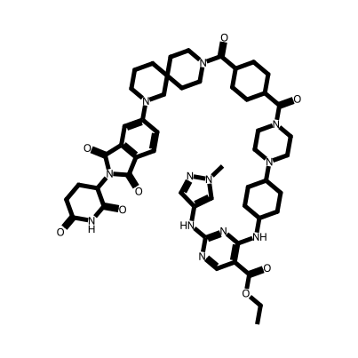 CCOC(=O)c1cnc(Nc2cnn(C)c2)nc1NC1CCC(N2CCN(C(=O)C3CCC(C(=O)N4CCC5(CCCN(c6ccc7c(c6)C(=O)N(C6CCC(=O)NC6=O)C7=O)C5)CC4)CC3)CC2)CC1